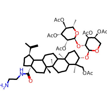 C=C(C)[C@@H]1CC[C@]2(C(=O)NCCN)CC[C@]3(C)C(CCC4[C@@]5(C)CC[C@H](O[C@@H]6OC[C@H](OC(C)=O)[C@H](OC(C)=O)[C@H]6O[C@@H]6O[C@@H](C)[C@H](OC(C)=O)[C@@H](OC(C)=O)[C@H]6OC(C)=O)[C@@](C)(COC(C)=O)C5CC[C@]43C)C12